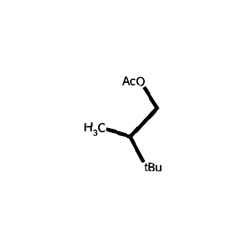 CC(=O)OCC(C)C(C)(C)C